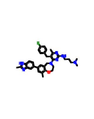 Cc1nc2cc(-c3cc(C)c4c(c3)CN(c3nc(NCCCN(C)C)nc(C)c3Cc3ccc(F)cc3)CCO4)ccc2[nH]1